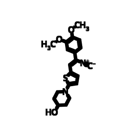 [C-]#[N+]/C(=C\c1ccc(N2CCC(O)CC2)s1)c1ccc(OC)c(OC)c1